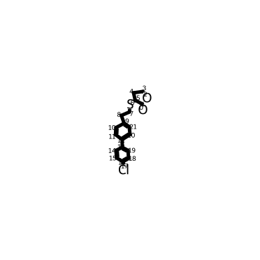 O=C1OCCC1SCCc1ccc(-c2ccc(Cl)cc2)cc1